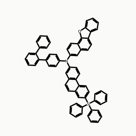 c1ccc(-c2ccccc2-c2ccc(N(c3ccc4c(ccc5cc([Si](c6ccccc6)(c6ccccc6)c6ccccc6)ccc54)c3)c3ccc4c(ccc5c6ccccc6oc45)c3)cc2)cc1